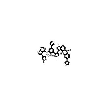 CCOc1ccc(-c2ccoc2)cc1Nc1ncnc2[nH]nc(-c3c[nH]nc3-c3cc(-c4ccoc4)cc(Nc4ncnc5[nH]cc(-c6cn[nH]c6)c45)c3OC)c12